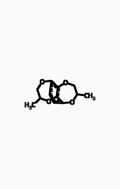 CC1COc2c3ccc(c2OC(C)CO3)O1